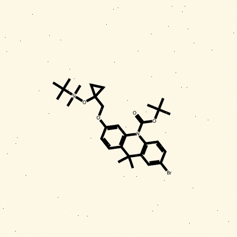 CC(C)(C)OC(=O)N1c2cc(OCC3(O[Si](C)(C)C(C)(C)C)CC3)ccc2C(C)(C)c2cc(Br)ccc21